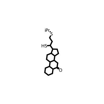 CC(C)SCCC(S)C1CCC2C1CCC1C3CCCCC3C(=O)CC12